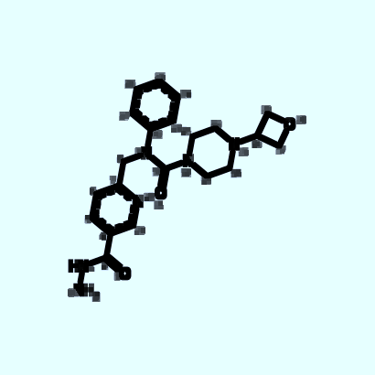 NNC(=O)c1ccc(CN(C(=O)N2CCN(C3COC3)CC2)c2ccccc2)nc1